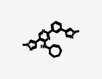 Cn1cc(-c2cccc(-c3ncc(-c4cnn(C)c4)c(NC4C=CCCCC4)n3)c2)cn1